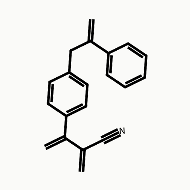 C=C(C#N)C(=C)c1ccc(CC(=C)c2ccccc2)cc1